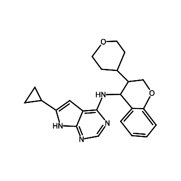 c1ccc2c(c1)OCC(C1CCOCC1)C2Nc1ncnc2[nH]c(C3CC3)cc12